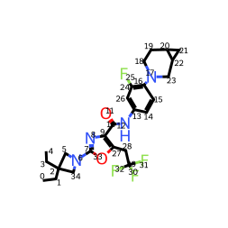 CCC1(CC)CN(c2nc(C(=O)Nc3ccc(N4CCC5CC5C4)c(F)c3)c(CC(F)(F)F)o2)C1